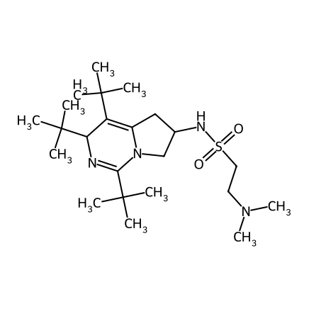 CN(C)CCS(=O)(=O)NC1CC2=C(C(C)(C)C)C(C(C)(C)C)N=C(C(C)(C)C)N2C1